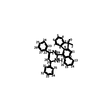 CC1(C)c2ccccc2-c2c1cc1ccccc1c2C1=NC(c2ccccc2)=CC(c2ccccc2)N1